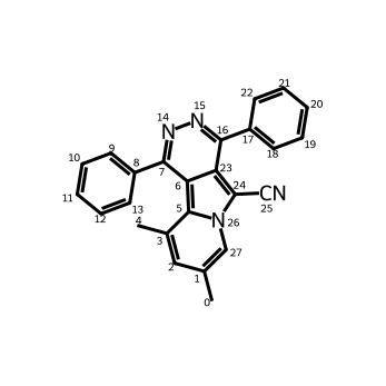 Cc1cc(C)c2c3c(-c4ccccc4)nnc(-c4ccccc4)c3c(C#N)n2c1